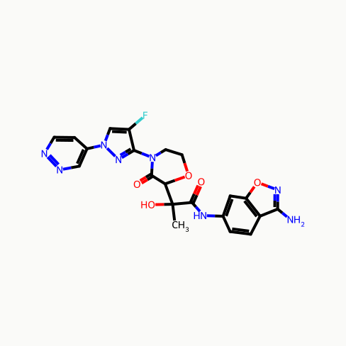 CC(O)(C(=O)Nc1ccc2c(N)noc2c1)C1OCCN(c2nn(-c3ccnnc3)cc2F)C1=O